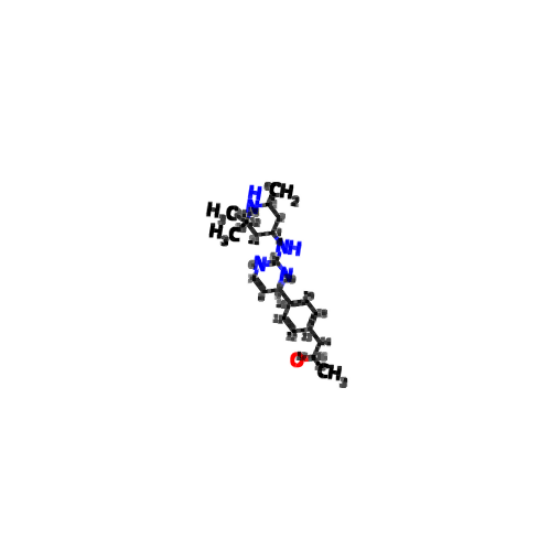 C=C1CC(Nc2nccc(-c3ccc(CC(C)=O)cc3)n2)CC(C)(C)N1